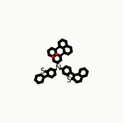 c1ccc(-c2cccc3cccc(-c4cccc(N(c5ccc6c(c5)sc5ccccc56)c5ccc6c(c5)sc5ccc7ccccc7c56)c4)c23)cc1